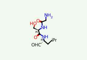 CC(C)C[C@H](C=O)NC(=O)[C@@H](CO)NC(=O)CN